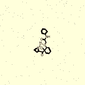 Cn1cccc1C(=O)C1(Cl)C=CC=CC1OCC(=O)Nc1ccccc1